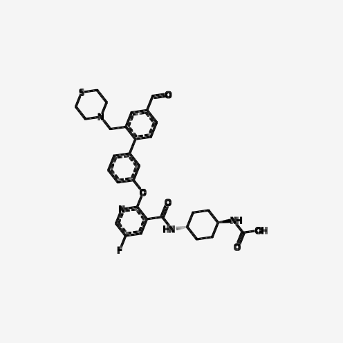 O=Cc1ccc(-c2cccc(Oc3ncc(F)cc3C(=O)N[C@H]3CC[C@H](NC(=O)O)CC3)c2)c(CN2CCSCC2)c1